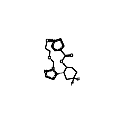 COCCOCn1nccc1[C@H]1CC(F)(F)CC[C@@H]1OC(=O)c1ccccc1